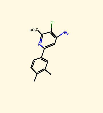 Cc1ccc(-c2cc(N)c(Cl)c(C(=O)O)n2)cc1C